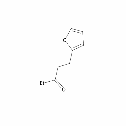 CCC(=O)CCc1ccco1